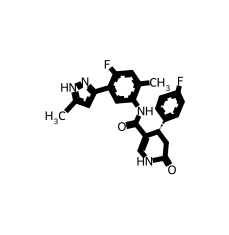 Cc1cc(-c2cc(NC(=O)C3=CNC(=O)C[C@H]3c3ccc(F)cc3)c(C)cc2F)n[nH]1